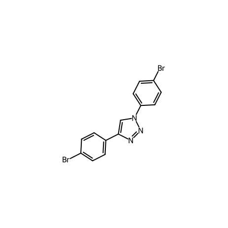 Brc1ccc(-c2cn(-c3ccc(Br)cc3)nn2)cc1